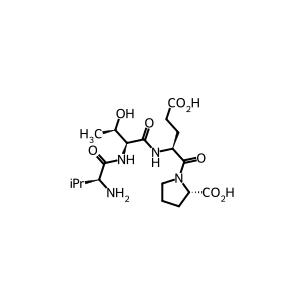 CC(C)[C@H](N)C(=O)N[C@H](C(=O)N[C@@H](CCC(=O)O)C(=O)N1CCC[C@H]1C(=O)O)[C@@H](C)O